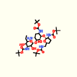 CCC1O[C@H](O[C@@H]2C(O)C(O[C@H]3OC(CNC(=O)OC(C)(C)C)CCC3NC(=O)OC(C)(C)C)[C@H](NC(=O)OC(C)(C)C)C[C@H]2N)C(O)[C@@H](NC(=O)OC(C)(C)C)[C@H]1O